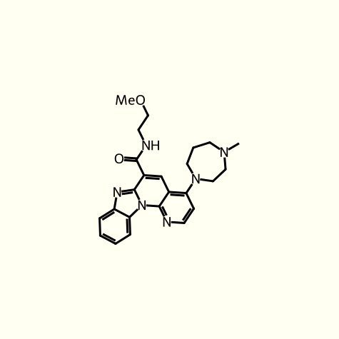 COCCNC(=O)c1cc2c(N3CCCN(C)CC3)ccnc2n2c1nc1ccccc12